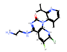 Cc1ccnc(C(C)C)c1-n1c(=O)nc(NCCN)c2cc(F)c(Cl)nc21